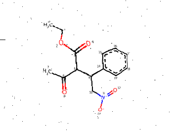 CCOC(=O)C(C(C)=O)C(C[N+](=O)[O-])c1ccccc1